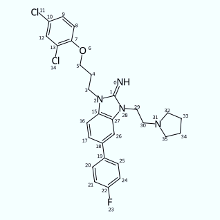 N=c1n(CCCOc2ccc(Cl)cc2Cl)c2ccc(-c3ccc(F)cc3)cc2n1CCN1CCCC1